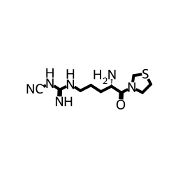 N#CNC(=N)NCCC[C@H](N)C(=O)N1CCSC1